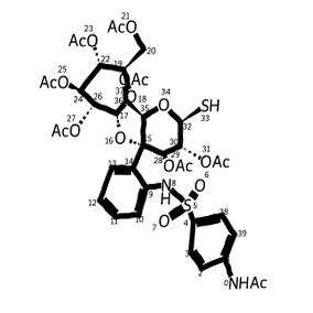 CC(=O)Nc1ccc(S(=O)(=O)Nc2ccccc2[C@]2(O[C@H]3O[C@H](COC(C)=O)[C@@H](OC(C)=O)[C@H](OC(C)=O)[C@H]3OC(C)=O)[C@H](OC(C)=O)[C@@H](OC(C)=O)[C@H](S)O[C@@H]2COC(C)=O)cc1